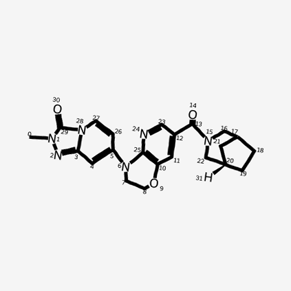 Cn1nc2cc(N3CCOc4cc(C(=O)N5CC6CC[C@@H](C6)C5)cnc43)ccn2c1=O